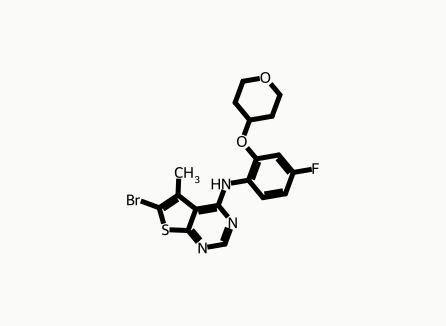 Cc1c(Br)sc2ncnc(Nc3ccc(F)cc3OC3CCOCC3)c12